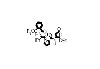 CCO[C@@H]1OC(=O)C[C@@H]1NC(=O)[C@@H]1CCCN1C(=O)[C@@H](NC(=O)c1ccccc1OC(F)(F)F)C(C)C